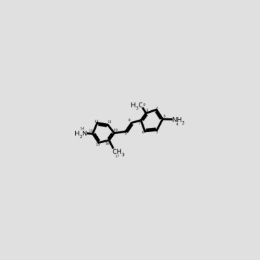 Cc1cc(N)ccc1/C=C/c1ccc(N)cc1C